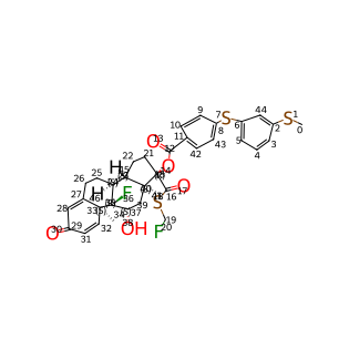 CSc1cccc(Sc2ccc(C(=O)O[C@]3(C(=O)SCF)CC[C@H]4[C@@H]5CCC6=CC(=O)C=C[C@]6(C)[C@@]5(F)[C@@H](O)C[C@@]43C)cc2)c1